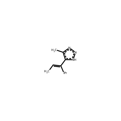 C/C=C(/c1[nH]nnc1C)C(C)C